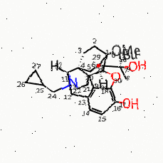 CO[C@]12CC[C@@]3(C[C@@H]1[C@](C)(O)C(C)(C)C)[C@H]1Cc4ccc(O)c5c4[C@@]3(CCN1CC1CC1)[C@]2(C)O5